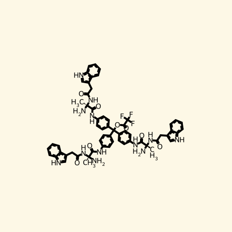 C[C@](N)(NC(=O)Cc1c[nH]c2ccccc12)C(=O)Nc1ccc(C(OC(=O)C(F)(F)F)(c2ccc(NC(=O)[C@@](C)(N)NC(=O)Cc3c[nH]c4ccccc34)cc2)c2ccc(NC(=O)[C@@](C)(N)NC(=O)Cc3c[nH]c4ccccc34)cc2)cc1